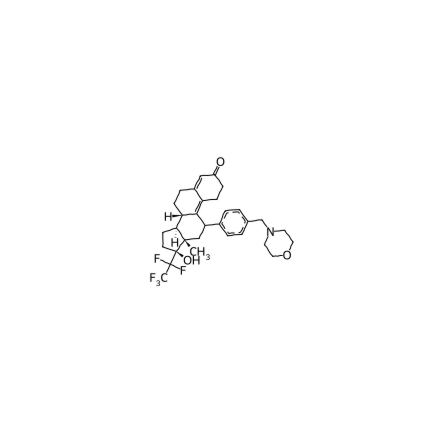 C[C@]12CC(c3ccc(CN4CCOCC4)cc3)C3=C4CCC(=O)C=C4CC[C@H]3[C@@H]1CC[C@@]2(O)C(F)(F)C(F)(F)F